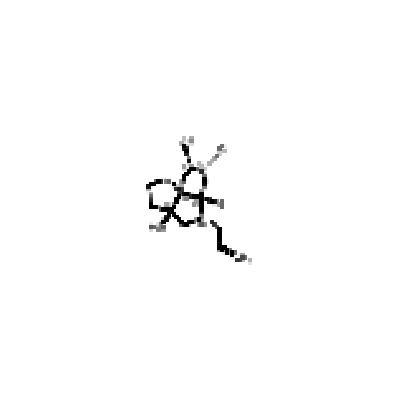 C=CC[C@@H]1C[C@]2(O)CCO[C@@]23C[C@@H](O)[C@H](Cl)C[C@H]13